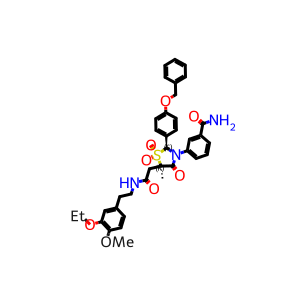 CCOc1cc(CCNC(=O)C[C@]2(C)C(=O)N(c3cccc(C(N)=O)c3)[C@H](c3ccc(OCc4ccccc4)cc3)S2(=O)=O)ccc1OC